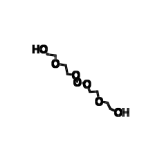 OCCOCCOOOCCOCCO